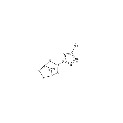 Nc1cc(C2CC3CCC(C2)N3)n[nH]1